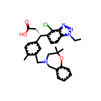 CCn1nnc2c(Cl)c([C@@H](CC(=O)O)c3ccc(C)c(CN4Cc5ccccc5OC(C)(C)C4)c3)ccc21